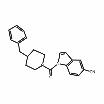 N#Cc1ccc2c(ccn2C(=O)N2CCC(Cc3ccccc3)CC2)c1